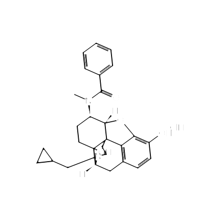 CN(C(=O)c1ccccc1)[C@@H]1CC[C@@]2(O)[C@H]3Cc4ccc(O)c5c4[C@@]2(CCN3CC2CC2)[C@H]1O5.Cl